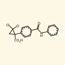 O=C(Nc1ccccc1)c1ccc(C2(C(=O)O)CC2(Cl)Cl)cc1